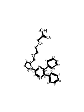 O=C(O)COCCOC[C@@H]1CCCN1c1cnc(-c2ccccc2)c(-c2ccccc2)n1